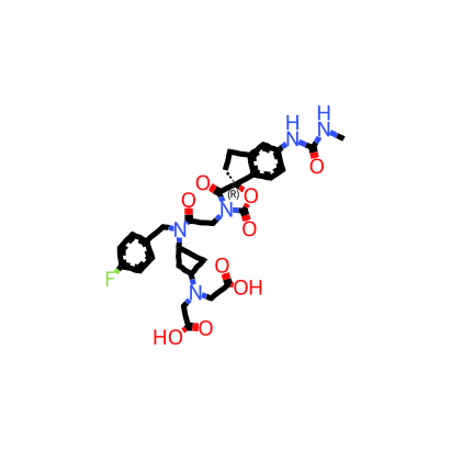 CNC(=O)Nc1ccc2c(c1)CC[C@@]21OC(=O)N(CC(=O)N(Cc2ccc(F)cc2)C2CC(N(CC(=O)O)CC(=O)O)C2)C1=O